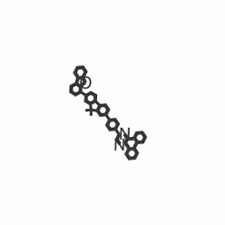 CC1(C)c2cc(-c3ccc(-c4cnc5c6ccccc6c6ccccc6c5n4)cc3)ccc2-c2ccc(-c3cccc4c3oc3ccccc34)cc21